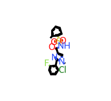 Cc1ccccc1S(=O)(=O)NC(=O)c1cn(C)c(-c2c(F)cccc2Cl)n1